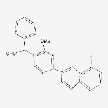 COc1nc(-c2ccc3cccc(F)c3c2)ccc1C(C=O)c1ccccc1